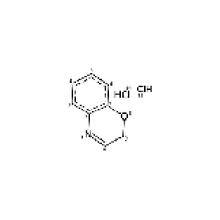 C1=Nc2ccccc2OC1.Cl.Cl